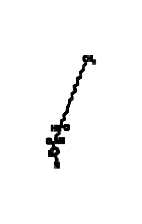 CCC=CCC=CCC=CCC=CCC=CCCCC(=O)NCCNC(=O)c1ccc(C#N)nc1